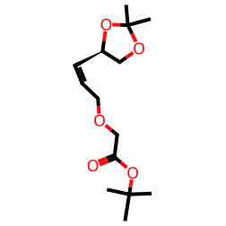 CC(C)(C)OC(=O)COC/C=C\[C@@H]1COC(C)(C)O1